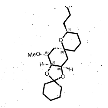 CO[C@@H]1C[C@]2(CCC[C@H](CCC#N)O2)C[C@H]2OC3(CCCCC3)O[C@@H]12